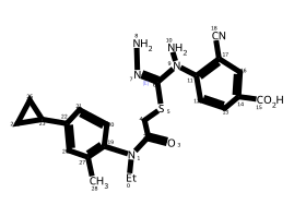 CCN(C(=O)CS/C(=N/N)N(N)c1ccc(C(=O)O)cc1C#N)c1ccc(C2CC2)cc1C